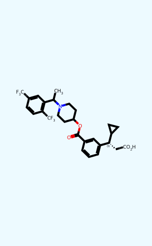 CC(c1cc(C(F)(F)F)ccc1C(F)(F)F)N1CCC(OC(=O)c2cccc([C@@H](CC(=O)O)C3CC3)c2)CC1